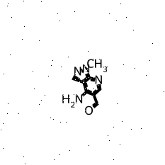 Cn1ncc2c(N)c(C=O)cnc21